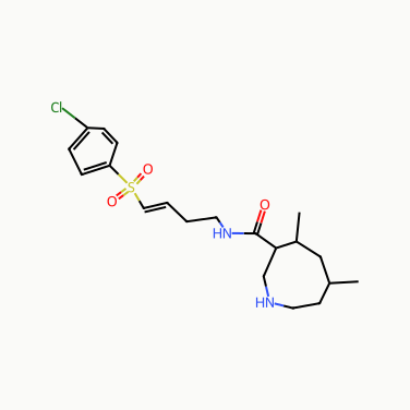 CC1CCNCC(C(=O)NCC/C=C/S(=O)(=O)c2ccc(Cl)cc2)C(C)C1